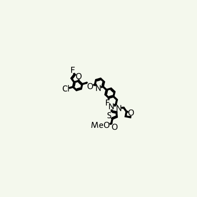 COC(=O)c1cc2c(nc(Cc3ccc(-c4cccc(OCc5ccc(Cl)c6cc(F)oc56)n4)cc3F)n2CC2CCO2)s1